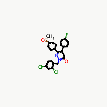 C[S+]([O-])c1ccc(-c2nn(Cc3ccc(Cl)cc3Cl)c(=O)cc2-c2ccc(F)cc2)cc1